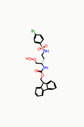 O=C(N[C@@H](CCNS(=O)(=O)c1ccc(Br)cc1)COO)OCC1c2ccccc2-c2ccccc21